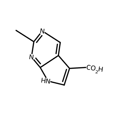 Cc1ncc2c(C(=O)O)c[nH]c2n1